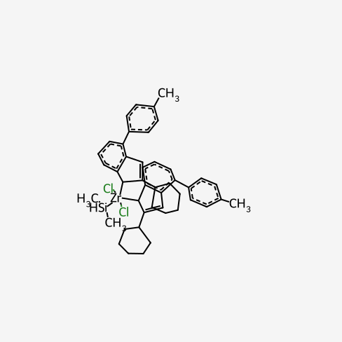 Cc1ccc(-c2cccc3c2C=C(C2CCCCC2)[CH]3[Zr]([Cl])([Cl])([CH]2C(C3CCCCC3)=Cc3c(-c4ccc(C)cc4)cccc32)[SiH](C)C)cc1